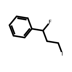 FC(CCI)c1ccccc1